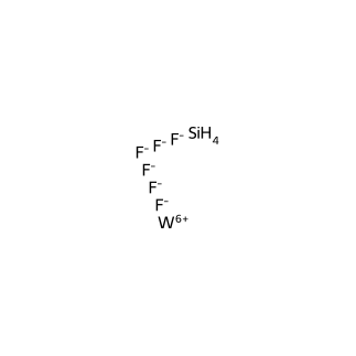 [F-].[F-].[F-].[F-].[F-].[F-].[SiH4].[W+6]